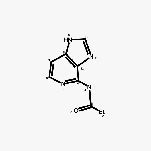 CCC(=O)Nc1nccc2[nH]cnc12